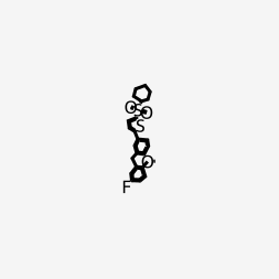 COc1ccc(F)cc1Cc1cccc(-c2ccc(S(=O)(=O)C3CCCCC3)s2)c1